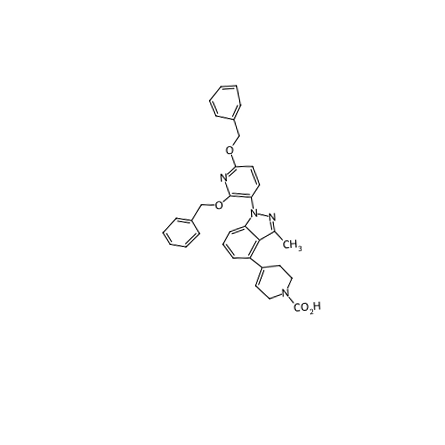 Cc1nn(-c2ccc(OCc3ccccc3)nc2OCc2ccccc2)c2cccc(C3=CCN(C(=O)O)CC3)c12